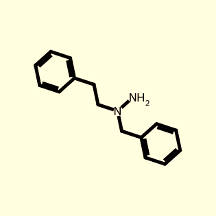 NN(CCc1ccccc1)Cc1ccccc1